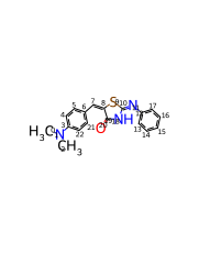 CN(C)c1ccc(C=C2SC(=Nc3ccccc3)NC2=O)cc1